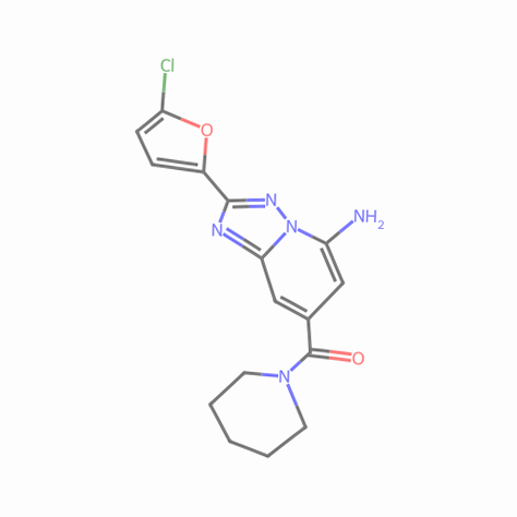 Nc1cc(C(=O)N2CCCCC2)cc2nc(-c3ccc(Cl)o3)nn12